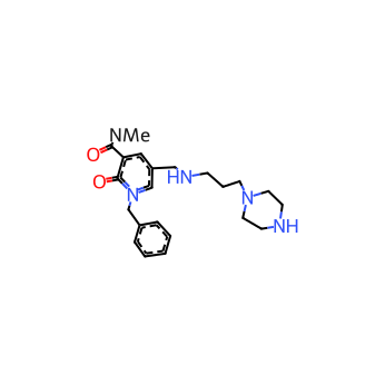 CNC(=O)c1cc(CNCCCN2CCNCC2)cn(Cc2ccccc2)c1=O